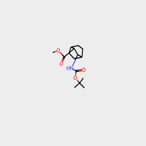 COC(=O)C1C2CCC(CC2)C1NC(=O)OC(C)(C)C